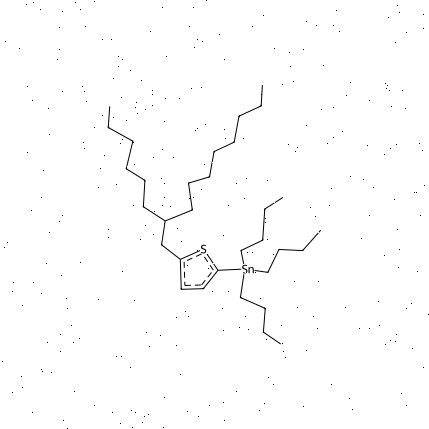 CCCCCCCCC(CCCCCC)Cc1cc[c]([Sn]([CH2]CCC)([CH2]CCC)[CH2]CCC)s1